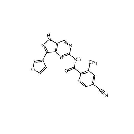 Cc1cc(C#N)cnc1C(=O)Nc1ncc2[nH]nc(-c3ccoc3)c2n1